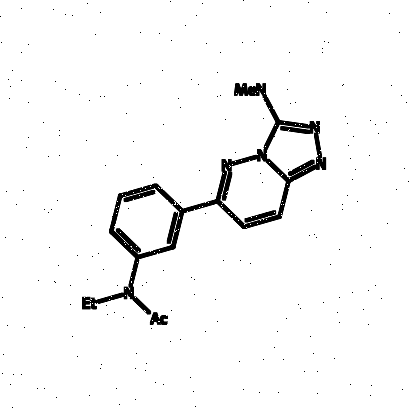 CCN(C(C)=O)c1cccc(-c2ccc3nnc(NC)n3n2)c1